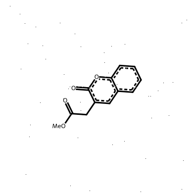 COC(=O)Cc1cc2ccccc2oc1=O